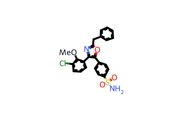 COc1c(Cl)cccc1-c1nc(Cc2ccccc2)oc1-c1ccc(S(N)(=O)=O)cc1